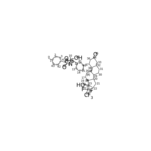 Cc1ccc(S(=O)(=O)N=[SH](C)(O)c2ccc([C@H]3C[C@@]4(C)C(CC[C@]4(O)C(F)(F)C(F)(F)F)C4CCC5=CC(=O)CCC5=C43)cc2)cc1